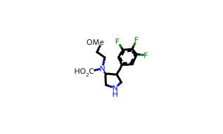 COCCN(C(=O)O)C1CNCC1c1cc(F)c(F)c(F)c1